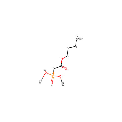 CCCCCCCCCCCCOC(=O)CP(=O)(OCC)OCC